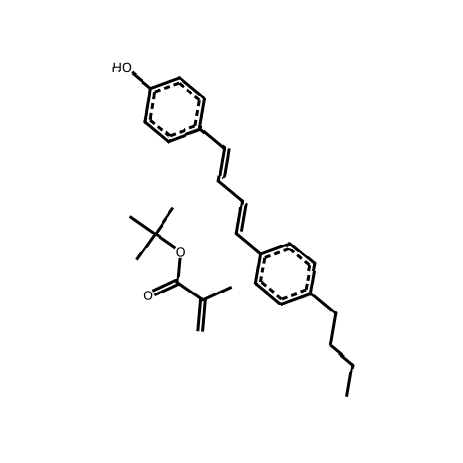 C=C(C)C(=O)OC(C)(C)C.CCCCc1ccc(C=CC=Cc2ccc(O)cc2)cc1